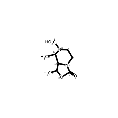 CC1OC(=O)N2CCN(C(=O)O)C(C)C12